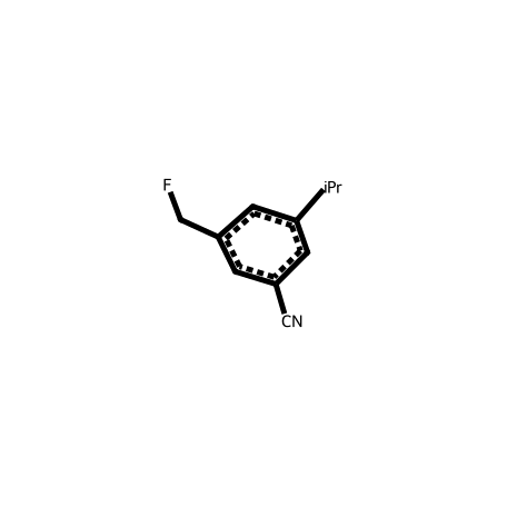 CC(C)c1cc(C#N)cc(CF)c1